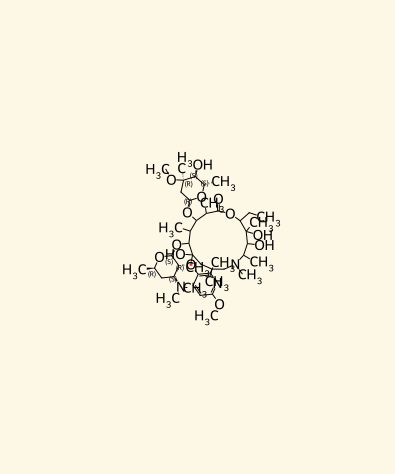 CCC1OC(=O)C(C)C(O[C@H]2C[C@@](C)(OC)[C@@H](O)[C@H](C)O2)C(C)C(O[C@@H]2O[C@H](C)C[C@H](N(C)C)[C@H]2Oc2ccc(OC)nc2C)C(C)(O)CC(C)CN(C)C(C)C(O)C1(C)O